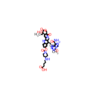 CCc1c2c(nc3ccc(OC(=O)N4CCC(NCCCCC(=O)O)CC4)cc13)-c1cc3c(c(=O)n1C2)COC(=O)[C@]3(O)CC.Cn1nnc2c(C(N)=O)ncn2c1=O